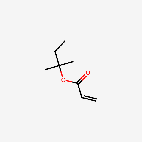 C=CC(=O)OC(C)(C)CC